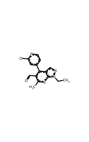 CCn1ncc2c(-c3ccnc(Cl)c3)c(C=O)c(C)nc21